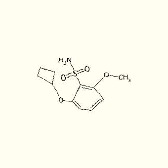 COc1cccc(OC2CCC2)c1S(N)(=O)=O